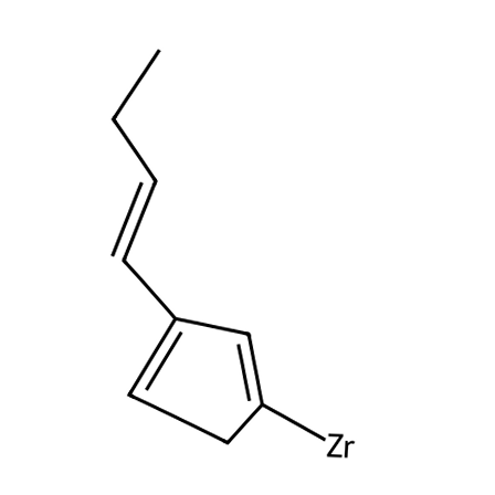 CCC=CC1=CC[C]([Zr])=C1